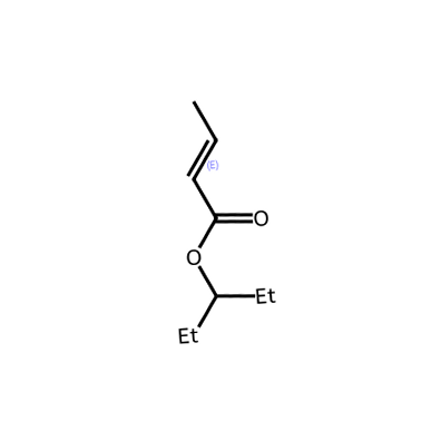 C/C=C/C(=O)OC(CC)CC